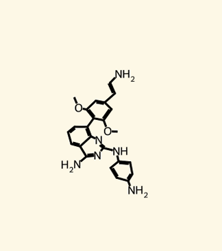 COc1cc(/C=C/N)cc(OC)c1-c1cccc2c(N)nc(Nc3ccc(N)cc3)nc12